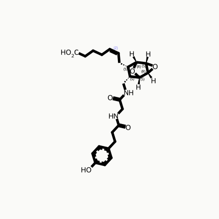 O=C(O)CCC/C=C\C[C@H]1[C@@H](CNC(=O)CNC(=O)CCc2ccc(O)cc2)[C@@H]2O[C@H]1[C@@H]1O[C@@H]12